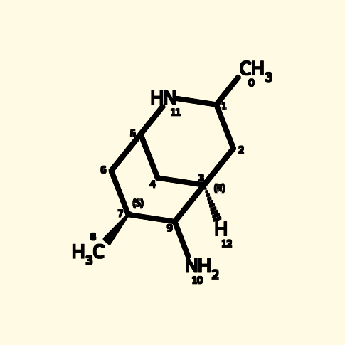 CC1C[C@@H]2CC(C[C@H](C)C2N)N1